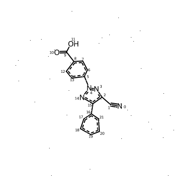 N#Cc1nn(-c2ccc(C(=O)O)cc2)nc1-c1ccccc1